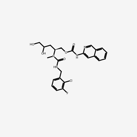 CN(C(=O)NCc1cccc(F)c1Cl)[C@H](COC(=O)Nc1cc2ccccc2cn1)CC(O)CO